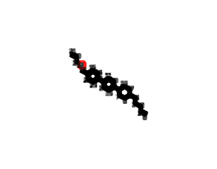 C=CCCCC1CCC(c2ccc(-c3ccc(COCC=C)cc3)cc2)CC1